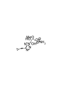 CO[C@H](COS(N)(=O)=O)[C@@H](O)[C@@H](O)n1cnc2c(C#CC3CC3)ncnc21